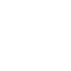 C[C@H](C(=O)O)C1CCOCC1